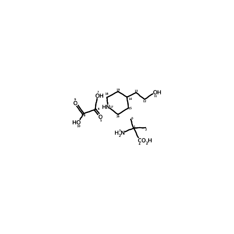 CC(C)(N)C(=O)O.O=C(O)C(=O)O.OCCC1CCNCC1